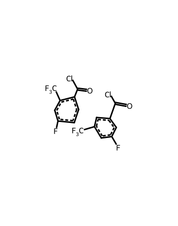 O=C(Cl)c1cc(F)cc(C(F)(F)F)c1.O=C(Cl)c1ccc(F)cc1C(F)(F)F